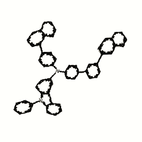 c1ccc(-n2c3ccccc3c3cc(N(c4ccc(-c5cccc(-c6ccc7ccccc7c6)c5)cc4)c4ccc(-c5cccc6ccccc56)cc4)ccc32)cc1